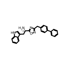 N[C@@H](Cc1c[nH]c2ccccc12)c1nc(Cc2ccc(-c3ccccc3)cc2)no1